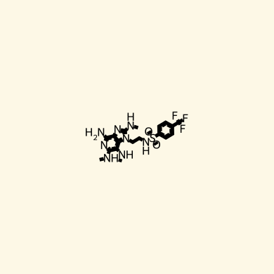 CNc1nc(N)c2nc(NC)n(CCNS(=O)(=O)c3ccc(C(F)(F)F)cc3)c2c1NC